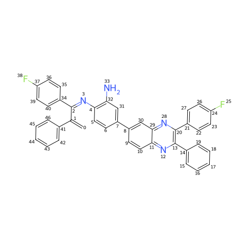 C=C(/C(=N\c1ccc(-c2ccc3nc(-c4ccccc4)c(-c4ccc(F)cc4)nc3c2)cc1N)c1ccc(F)cc1)c1ccccc1